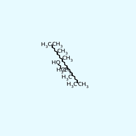 CC(C)=CCC/C(C)=C/CC/C(C)=C/CC/C=C(\C)CC/C=C(\C)CCC=C(C)C.CCCCO